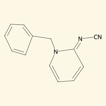 N#C/N=c1\ccccn1Cc1ccccc1